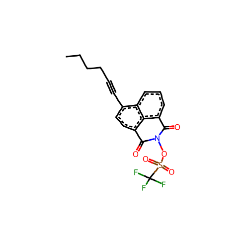 CCCCC#Cc1ccc2c3c(cccc13)C(=O)N(OS(=O)(=O)C(F)(F)F)C2=O